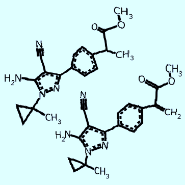 C=C(C(=O)OC)c1ccc(-c2nn(C3(C)CC3)c(N)c2C#N)cc1.COC(=O)C(C)c1ccc(-c2nn(C3(C)CC3)c(N)c2C#N)cc1